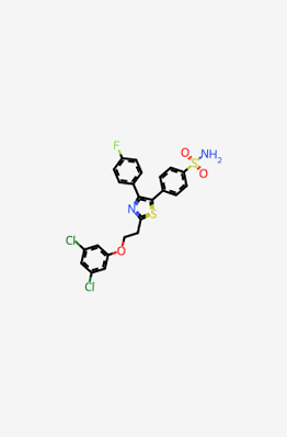 NS(=O)(=O)c1ccc(-c2sc(CCOc3cc(Cl)cc(Cl)c3)nc2-c2ccc(F)cc2)cc1